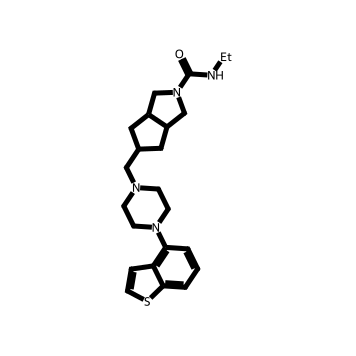 CCNC(=O)N1CC2CC(CN3CCN(c4cccc5sccc45)CC3)CC2C1